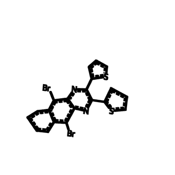 Brc1c2ccccc2c(Br)c2nc(-c3cccs3)c(-c3cccs3)nc12